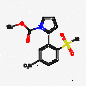 CCS(=O)(=O)c1ccc([N+](=O)[O-])cc1-c1cccn1C(=O)OC(C)(C)C